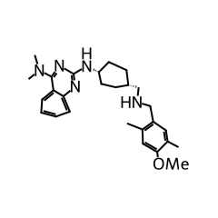 COc1cc(C)c(CNC[C@H]2CC[C@@H](Nc3nc(N(C)C)c4ccccc4n3)CC2)cc1C